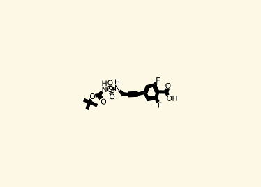 CC(C)(C)OC(=O)NS(=O)(=O)NCC#Cc1cc(F)c(C(=O)O)c(F)c1